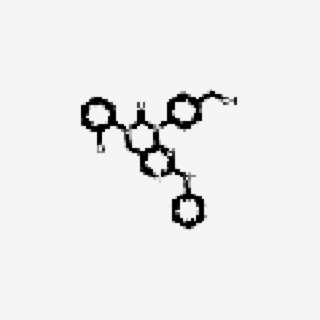 O=C1N(c2ccccc2Br)Cc2cnc(Nc3ccccc3)nc2N1c1ccc(CO)cc1